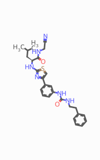 CC(C)C[C@H](Nc1nc(-c2cccc(NC(=O)NCCc3ccccc3)c2)cs1)C(=O)NCC#N